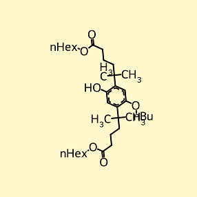 CCCCCCOC(=O)CCCC(C)(C)c1cc(OCCCC)c(C(C)(C)CCCC(=O)OCCCCCC)cc1O